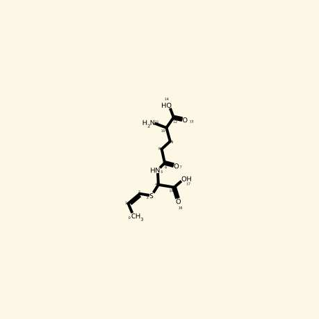 C/C=C\SC(NC(=O)CCC(N)C(=O)O)C(=O)O